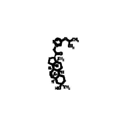 CC(C)Oc1cnn(CC(=O)[C@H]2CC[C@H]3[C@@H]4CC[C@@H]5C[C@](C)(O)CC[C@]5(C)[C@H]4CC[C@]23C)c1